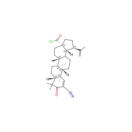 C=C(C)[C@@H]1CC[C@]2(C(=O)Cl)CC[C@]3(C)C(CC[C@@H]4[C@@]5(C)C=C(C#N)C(=O)C(C)(C)[C@@H]5CC[C@]43C)[C@@H]12